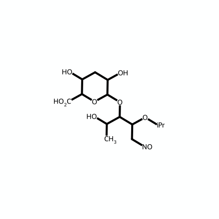 CC(C)OC(CN=O)C(OC1OC(C(=O)O)C(O)CC1O)C(C)O